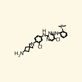 CP(C)c1ccccc1Nc1nc(Nc2ccc(N3CC4(CC(N)C4)C3)c(Cl)c2)ncc1Cl